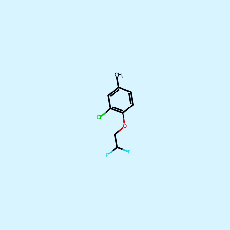 Cc1ccc(OCC(F)F)c(Cl)c1